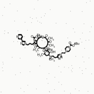 CC[C@H]1OC(=O)[C@H](C)C(=O)[C@H](C)[C@@H](O[C@@H]2O[C@H](C)C[C@H](N(C)CCc3cn(CCN4CCN(C(=O)OC(C)(C)C)CC4)nn3)[C@H]2O)[C@](C)(OC)C[C@@H](C)C(=O)[C@@H]2C(CCCn3cnc(-c4cccnc4)c3)N3C(=O)O[C@@]1(C)[C@@H]23